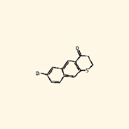 O=C1CCSc2cc3ccc(Br)cc3cc21